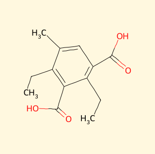 CCc1c(C)cc(C(=O)O)c(CC)c1C(=O)O